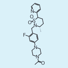 CC(=O)N1CCN(c2ccc(CN3[C@@H](C)CCC(c4ccccn4)S3(=O)=O)c(F)c2)CC1